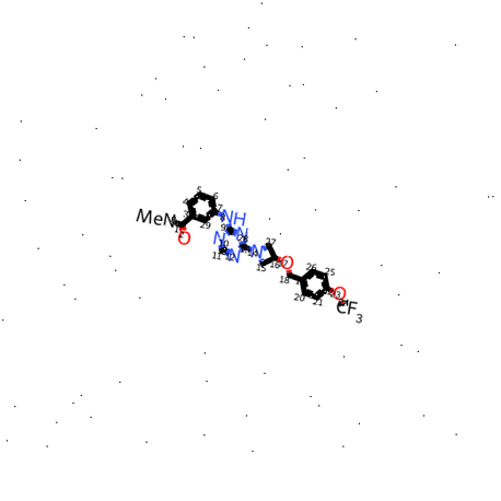 CNC(=O)c1cccc(Nc2ncnc(N3CC(OCc4ccc(OC(F)(F)F)cc4)C3)n2)c1